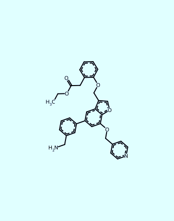 CCOC(=O)Cc1ccccc1OCc1coc2c(OCc3ccncc3)cc(-c3cccc(CN)c3)cc12